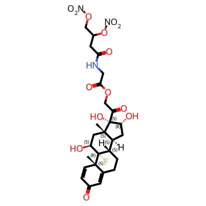 C[C@]12C=CC(=O)C=C1CC[C@H]1[C@@H]3C[C@@H](O)[C@](O)(C(=O)COC(=O)CNC(=O)CC(CO[N+](=O)[O-])O[N+](=O)[O-])[C@@]3(C)C[C@H](O)[C@@]12F